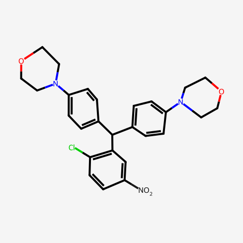 O=[N+]([O-])c1ccc(Cl)c(C(c2ccc(N3CCOCC3)cc2)c2ccc(N3CCOCC3)cc2)c1